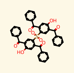 O=C(c1ccccc1)c1cc(S(=O)(=O)c2cc(C(=O)c3ccccc3)c(O)cc2C(=O)c2ccccc2)c(C(=O)c2ccccc2)cc1O